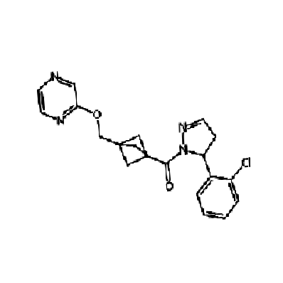 O=C(N1N=CCC1c1ccccc1Cl)C12CC(COc3cnccn3)(C1)C2